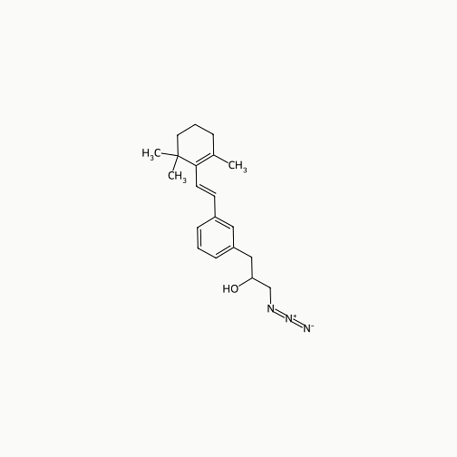 CC1=C(/C=C/c2cccc(CC(O)CN=[N+]=[N-])c2)C(C)(C)CCC1